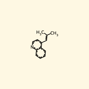 CC(C)=Cc1ccnc2ccccc12